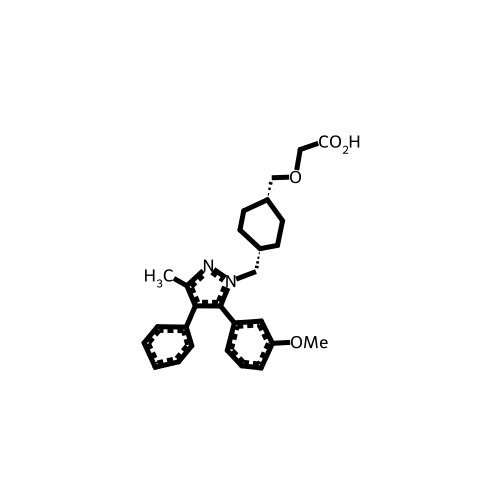 COc1cccc(-c2c(-c3ccccc3)c(C)nn2C[C@H]2CC[C@@H](COCC(=O)O)CC2)c1